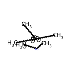 CCCCCCCC/C=C\CCCCCCCCCCCC(N)=O.CCCCCCCCCCCCCCCCCC(=O)OCC(COC(=O)CCCCCCCCCCCCCCCCC)OC(=O)CCCCCCCCCCCCCCCCC